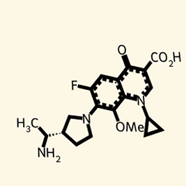 COc1c(N2CC[C@H](C(C)N)C2)c(F)cc2c(=O)c(C(=O)O)cn(C3CC3)c12